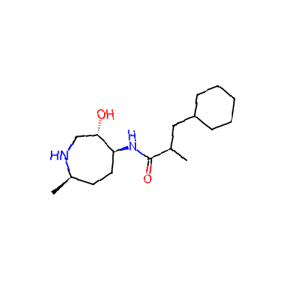 CC(CC1CCCCC1)C(=O)N[C@H]1CC[C@@H](C)NC[C@@H]1O